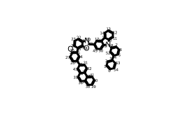 c1ccc(-c2cccc(-n3c4ccccc4c4cc(-c5nc6ccc7oc8ccc(-c9ccc%10c(ccc%11ccccc%11%10)c9)cc8c7c6o5)ccc43)c2)cc1